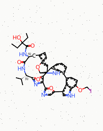 CCC(O)(CC)C(=O)N[C@H]1Cc2ccc3c(c2)C24c5cccc(c5NC2O3)-c2ccc(OCI)c3[nH]cc(c23)-c2cnc(o2)-c2nc(oc24)[C@H](C(C)C)NC1=O